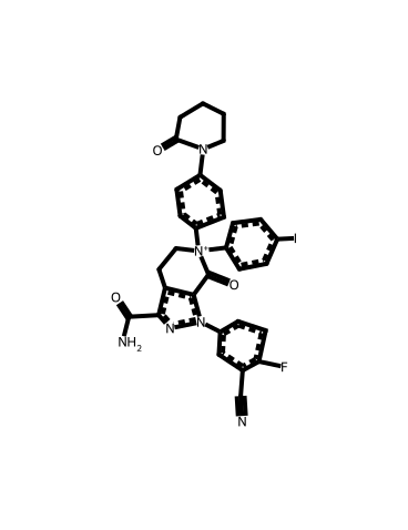 N#Cc1cc(-n2nc(C(N)=O)c3c2C(=O)[N+](c2ccc(I)cc2)(c2ccc(N4CCCCC4=O)cc2)CC3)ccc1F